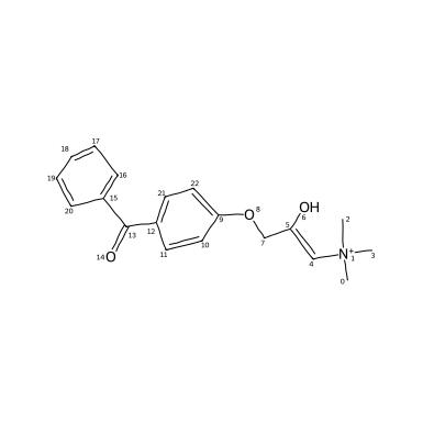 C[N+](C)(C)C=C(O)COc1ccc(C(=O)c2ccccc2)cc1